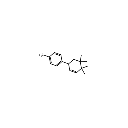 CC1(C)C=CC(c2ccc(C(F)(F)F)cc2)CC1(C)C